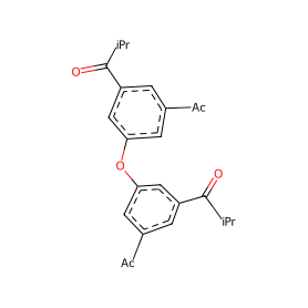 CC(=O)c1cc(Oc2cc(C(C)=O)cc(C(=O)C(C)C)c2)cc(C(=O)C(C)C)c1